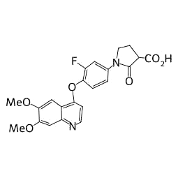 COc1cc2nccc(Oc3ccc(N4CCC(C(=O)O)C4=O)cc3F)c2cc1OC